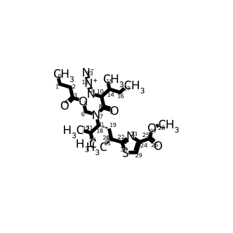 CCCC(=O)OCN(C(=O)C(N=[N+]=[N-])C(C)CC)[C@H](C[C@@H](C)c1nc(C(=O)OC)cs1)C(C)C